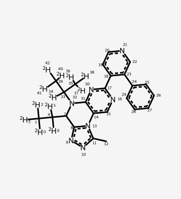 [2H]C([2H])([2H])C([2H])([2H])C1c2nnc(C)n2-c2cnc(-c3ccncc3-c3ccccc3)nc2N1C([2H])(C([2H])([2H])[2H])C([2H])([2H])[2H]